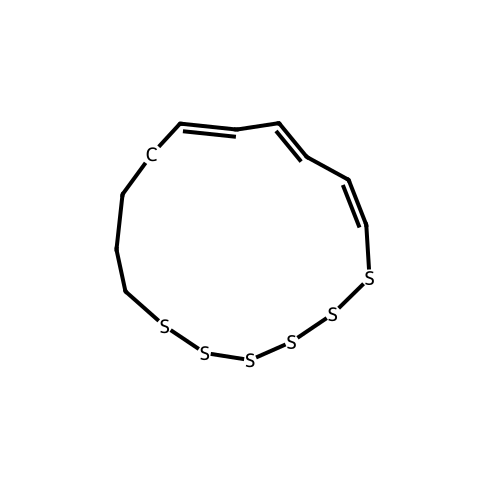 C1=C\SSSSSSCCCC/C=C/C=C/1